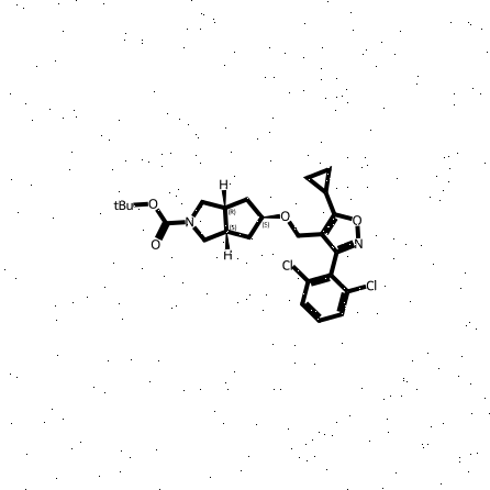 CC(C)(C)OC(=O)N1C[C@H]2C[C@H](OCc3c(-c4c(Cl)cccc4Cl)noc3C3CC3)C[C@H]2C1